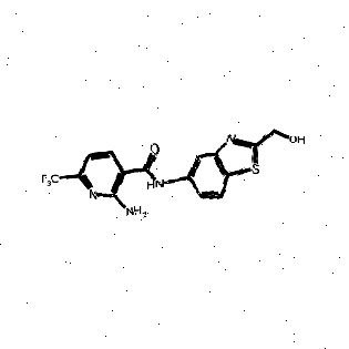 Nc1nc(C(F)(F)F)ccc1C(=O)Nc1ccc2sc(CO)nc2c1